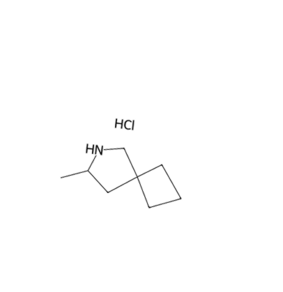 CC1CC2(CCC2)CN1.Cl